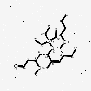 CCCCOC[C@@H](/C=C(/C)[C@H](C[C@H](CC=O)OC)O[Si](CC)(CC)CC)CC